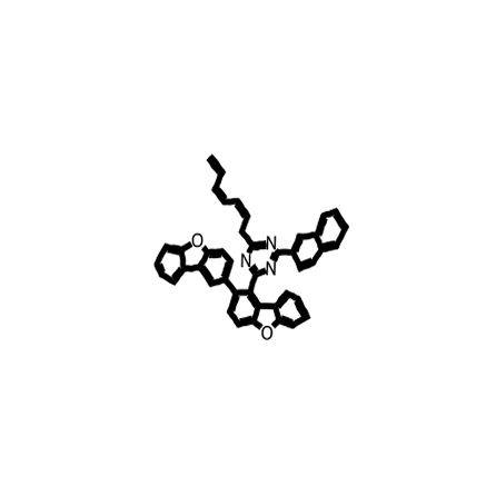 C=C/C=C\C=C/Cc1nc(-c2ccc3ccccc3c2)nc(-c2c(-c3ccc4oc5ccccc5c4c3)ccc3oc4ccccc4c23)n1